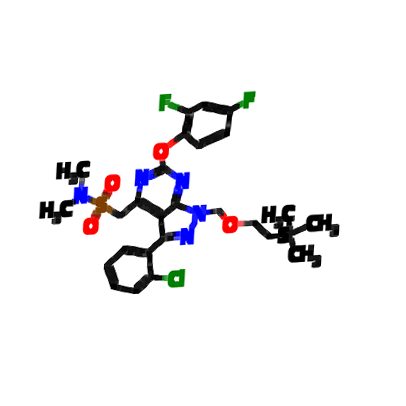 CN(C)S(=O)(=O)Cc1nc(Oc2ccc(F)cc2F)nc2c1c(-c1ccccc1Cl)nn2COCC[Si](C)(C)C